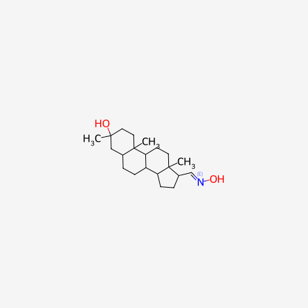 CC1(O)CCC2(C)C(CCC3C4CCC(/C=N/O)C4(C)CCC32)C1